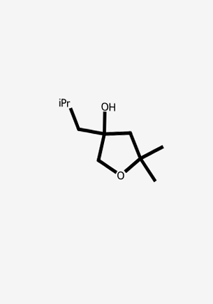 CC(C)CC1(O)COC(C)(C)C1